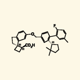 Cc1ccc(F)c(-c2ccc(COc3ccc4c(c3)[C@]3(CC4)CC[C@@H]3C(=O)O)cc2[C@@H]2CCCC2(C)C)c1